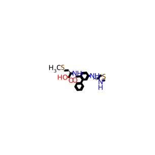 CSCC[C@H](NC(=O)c1ccc(NC[C@@H]2CSCN2)cc1-c1ccccc1)C(=O)O